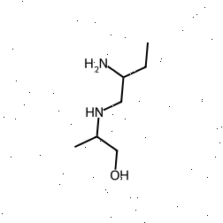 CCC(N)CNC(C)CO